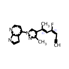 C#C/C=C(F)\C=C(/C)c1cn(-c2ccnc3c2C=C=N3)nc1C